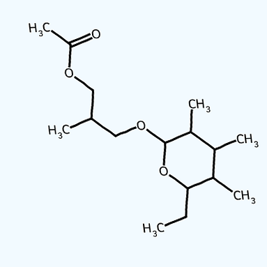 CCC1OC(OCC(C)COC(C)=O)C(C)C(C)C1C